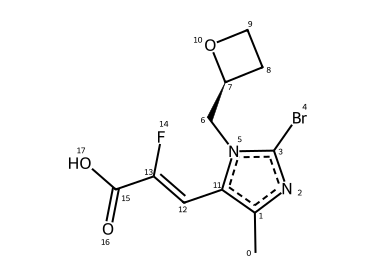 Cc1nc(Br)n(C[C@@H]2CCO2)c1/C=C(\F)C(=O)O